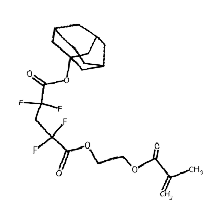 C=C(C)C(=O)OCCOC(=O)C(F)(F)CC(F)(F)C(=O)OC12CC3CC(CC(C3)C1)C2